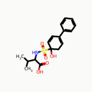 CC(C)C(NS(=O)(=O)C1(O)C=CC(c2ccccc2)=CC1)C(=O)O